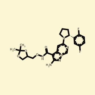 CC1(C)OCC(CONC(=O)c2c(N)nn3cnc(N4CCC[C@@H]4c4cc(F)ccc4F)cc23)O1